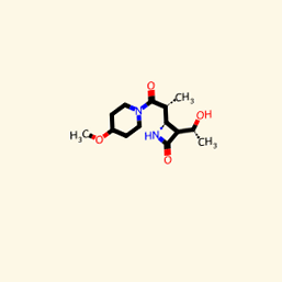 COC1CCN(C(=O)[C@H](C)[C@H]2NC(=O)C2[C@@H](C)O)CC1